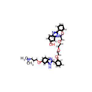 CN(C)CCCOc1ccc2nc(-c3ccccc3OCCOCCOCCOc3ccccc3-c3nc4ccc(O)cc4[nH]3)[nH]c2c1